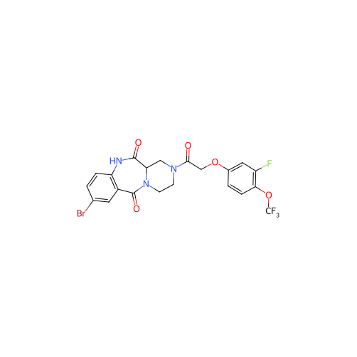 O=C1Nc2ccc(Br)cc2C(=O)N2CCN(C(=O)COc3ccc(OC(F)(F)F)c(F)c3)CC12